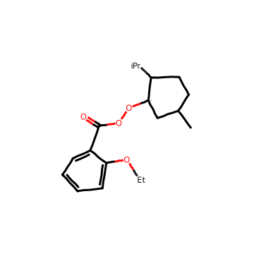 CCOc1ccccc1C(=O)OO[C]1CC(C)CCC1C(C)C